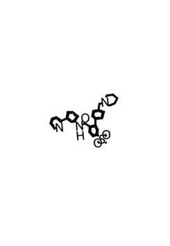 CS(=O)(=O)c1ccc(C(=O)Nc2cccc(-c3ccccn3)c2)c(-c2ccc(CN3CCCCC3)cc2)c1